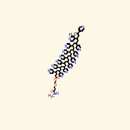 CNC(=O)CCOCCOC(=O)CCC(CC(CC(CC(CC(CC(CC(CC(CC(CC(CC(CC(CC(CC(C)c1ccncc1)c1ccncc1)c1ccncc1)c1ccncc1)c1ccncc1)c1ccncc1)c1ccncc1)c1ccncc1)c1ccncc1)c1ccncc1)c1ccncc1)c1ccncc1)c1ccncc1)c1ccncc1